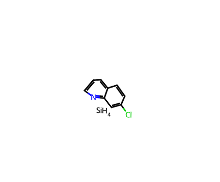 Clc1ccc2cccnc2c1.[SiH4]